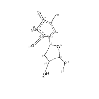 COC1OC(n2cc(C)c(=O)[nH]c2=O)CC1O